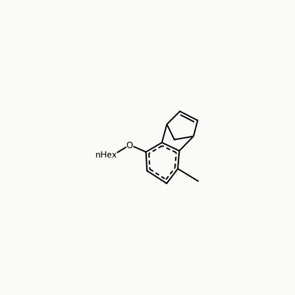 CCCCCCOc1ccc(C)c2c1C1C=CC2C1